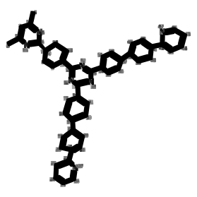 Cc1cc(C)nc([C@@H]2C=CC(c3nc(-c4ccc(-c5ccc(-c6ccccn6)cc5)cc4)nc(-c4ccc(-c5ccc(-c6ccccn6)cc5)cc4)n3)=CC2)n1